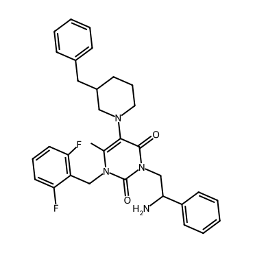 Cc1c(N2CCCC(Cc3ccccc3)C2)c(=O)n(CC(N)c2ccccc2)c(=O)n1Cc1c(F)cccc1F